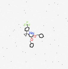 FC(F)(F)c1ccc(C2(c3cc(OCc4ccccc4)c(OCc4ccccc4)nn3)CC2)cc1